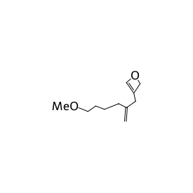 C=C(CCCCOC)CC1=COC1